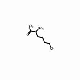 NC(=O)C(N)CCCCO